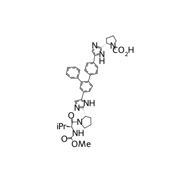 COC(=O)N[C@H](C(=O)N1CCC[C@H]1c1ncc(-c2ccc(-c3ccc(-c4cnc([C@@H]5CCCN5C(=O)O)[nH]4)cc3)c(-c3ccccc3)c2)[nH]1)C(C)C